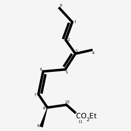 C/C=C/C(C)=C\C=C/[C@H](C)CC(=O)OCC